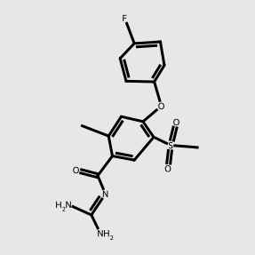 Cc1cc(Oc2ccc(F)cc2)c(S(C)(=O)=O)cc1C(=O)N=C(N)N